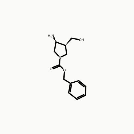 N[C@@H]1CN(C(=O)OCc2ccccc2)C[C@@H]1CO